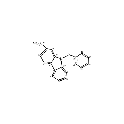 O=C(O)c1ccc2c3ccccc3n(Cc3ccccc3)c2c1